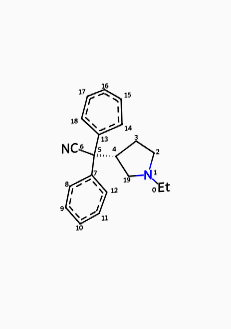 CCN1CC[C@@H](C(C#N)(c2ccccc2)c2ccccc2)C1